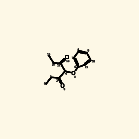 CCC(=O)C(Oc1c[c]ccc1)C(=O)CC